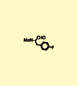 CN[C@H](C=O)Cc1ccc(F)cc1